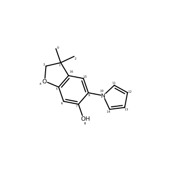 CC1(C)COc2cc(O)c(-n3cccc3)cc21